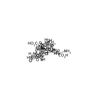 CC(=O)NCSC[C@H](N)C(=O)N[C@@H](Cc1c[nH]c2ccccc12)C(=O)N[C@@H](CS)C(=O)N[C@@H](Cc1ccc(O)cc1)C(=O)N[C@@H](CCC(=O)O)C(=O)N[C@H](C(=O)N[C@@H](CCC(=O)O)C(=O)NCC(=O)N[C@H](C(=O)NCC(=O)NCC(=O)NCC(=O)N[C@@H](CCCCN)C(=O)O)[C@@H](C)O)[C@@H](C)O